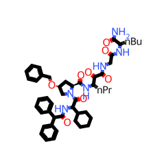 CCCCC(NC(=O)CNC(=O)C(=O)C(CCC)NC(=O)[C@@H]1C[C@@H](OCc2ccccc2)CN1C(=O)C(NC(=O)C(c1ccccc1)c1ccccc1)C1CCCCC1)C(N)=O